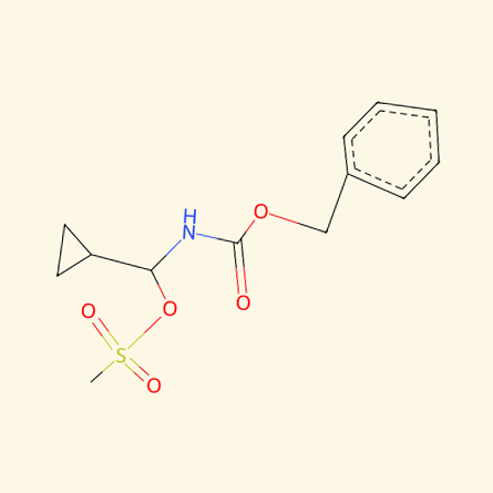 CS(=O)(=O)OC(NC(=O)OCc1ccccc1)C1CC1